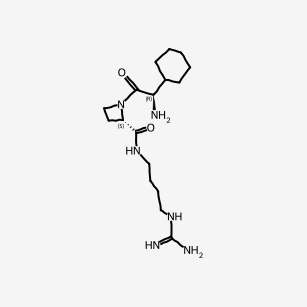 N=C(N)NCCCCNC(=O)[C@@H]1CCN1C(=O)[C@H](N)C1CCCCC1